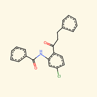 O=C(Nc1cc(Cl)ccc1C(=O)CCc1ccccc1)c1ccccc1